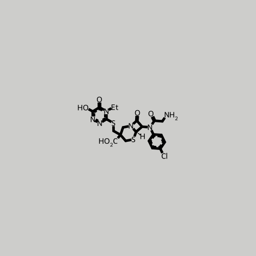 CCn1c(SCC2(C(=O)O)CS[C@@H]3C(N(C(=O)CN)c4ccc(Cl)cc4)C(=O)N3C2)nnc(O)c1=O